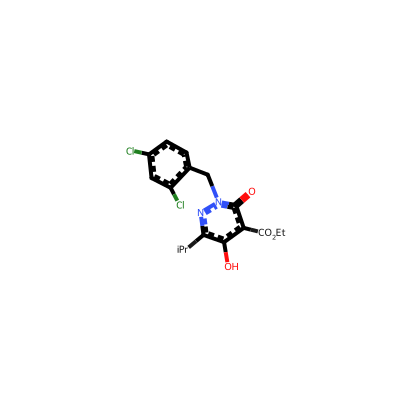 CCOC(=O)c1c(O)c(C(C)C)nn(Cc2ccc(Cl)cc2Cl)c1=O